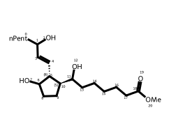 CCCCCC(O)C=C[C@H]1C(O)CC[C@@H]1C(O)CCCCCC(=O)OC